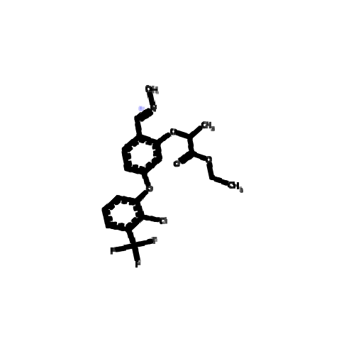 CCOC(=O)C(C)Oc1cc(Oc2cccc(C(F)(F)F)c2Cl)ccc1/C=N/O